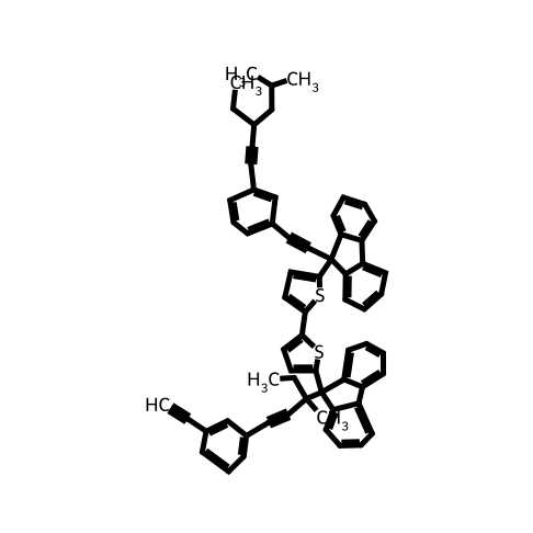 C#Cc1cccc(C#CC(C)(CC)C2(c3ccc(-c4ccc(C5(C#Cc6cccc(C#CC(CC)CC(C)C)c6)c6ccccc6-c6ccccc65)s4)s3)c3ccccc3-c3ccccc32)c1